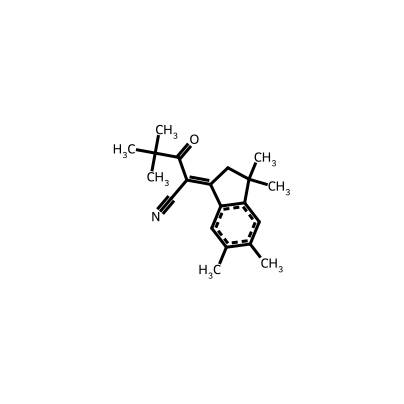 Cc1cc2c(cc1C)C(C)(C)C/C2=C(/C#N)C(=O)C(C)(C)C